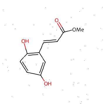 COC(=O)C=Cc1cc(O)ccc1O